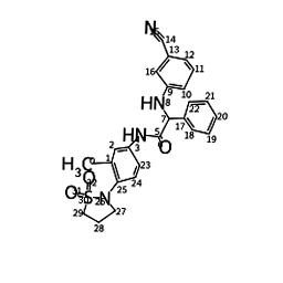 Cc1cc(NC(=O)C(Nc2cccc(C#N)c2)c2ccccc2)ccc1N1CCCS1(=O)=O